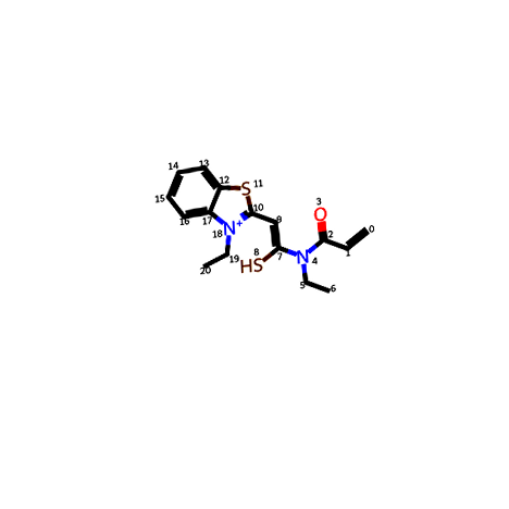 C=CC(=O)N(CC)C(S)=Cc1sc2ccccc2[n+]1CC